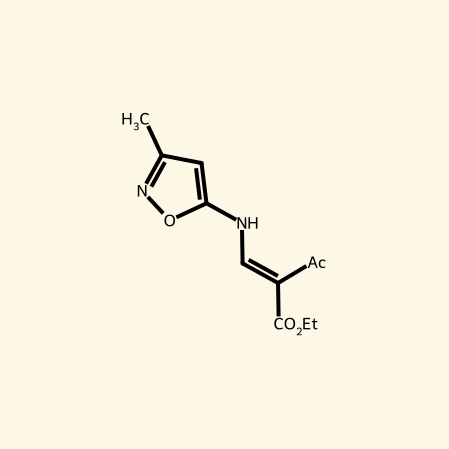 CCOC(=O)C(=CNc1cc(C)no1)C(C)=O